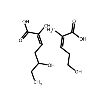 CC(=CCCO)C(=O)O.CCC(O)CC=C(C)C(=O)O